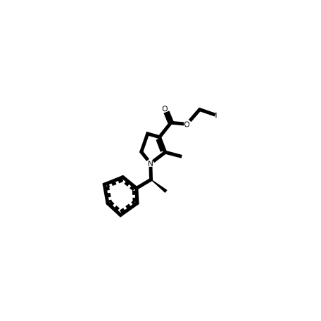 CC1=C(C(=O)OCI)CCN1[C@@H](C)c1ccccc1